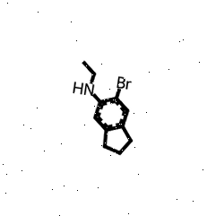 CCNc1cc2c(cc1Br)CCC2